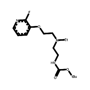 CCN(CCNC(=O)OC(C)(C)C)CCOc1cccnc1F